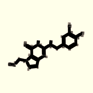 O=CCn1ncc2nc(NCc3ccc(Cl)c(Cl)c3)[nH]c(=O)c21